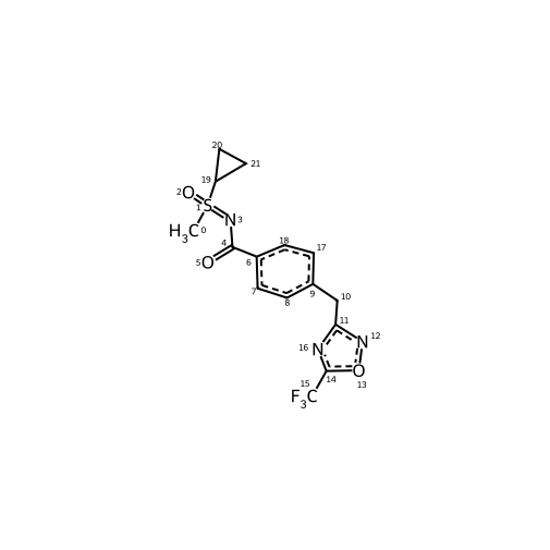 CS(=O)(=NC(=O)c1ccc(Cc2noc(C(F)(F)F)n2)cc1)C1CC1